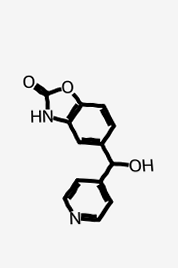 O=c1[nH]c2cc(C(O)c3ccncc3)ccc2o1